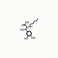 CCCCCN[C@@H](C(=O)O)C(O)c1ccc(O)c(O)c1